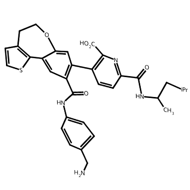 CC(C)CC(C)NC(=O)c1ccc(-c2cc3c(cc2C(=O)Nc2ccc(CN)cc2)-c2sccc2CCO3)c(C(=O)O)n1